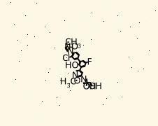 COc1ncc(-c2cc(F)cc(-c3ccc(-n4ccn(C)c4=O)c(Cl)c3)c2O)cc1N1CC(O)(CO)C1